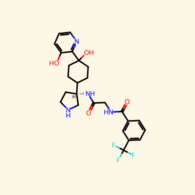 O=C(CNC(=O)c1cccc(C(F)(F)F)c1)N[C@@]1(C2CCC(O)(c3ncccc3O)CC2)CCNC1